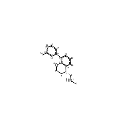 CNC[C@@H]1CCOc2c(-c3ccnc(C)c3)cccc21